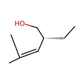 CC[C@H](C=C(C)C)CO